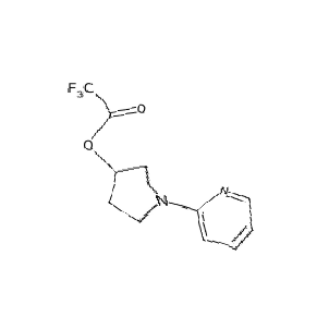 O=C(OC1CCN(c2ccccn2)C1)C(F)(F)F